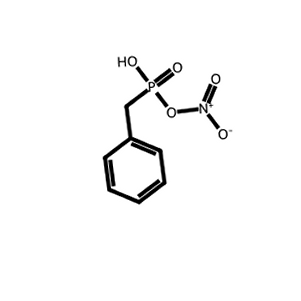 O=[N+]([O-])OP(=O)(O)Cc1ccccc1